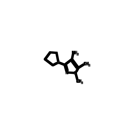 Cc1c(N)c(N2CCCC2)nn1C